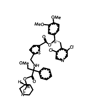 COCC(NCc1ccc(C(=O)O[C@@H](Cc2c(Cl)cncc2Cl)c2ccc(OC)c(OC)c2)s1)(C(=O)O[C@H]1CN2CCC1CC2)c1ccccc1